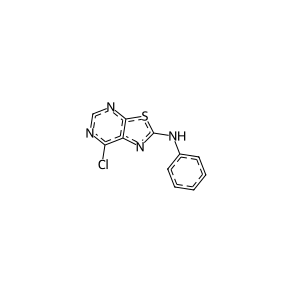 Clc1ncnc2sc(Nc3ccccc3)nc12